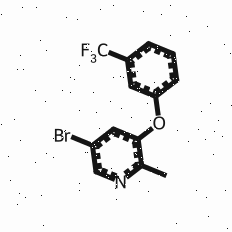 Cc1ncc(Br)cc1Oc1cccc(C(F)(F)F)c1